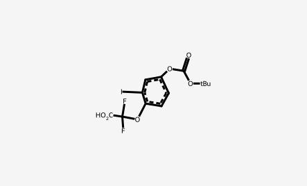 CC(C)(C)OC(=O)Oc1ccc(OC(F)(F)C(=O)O)c(I)c1